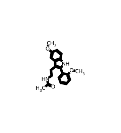 COc1ccc2[nH]c(-c3ccccc3OC)c(CCNC(C)=O)c2c1